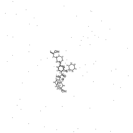 C=C(O)CC1CCCN(c2ccc(C(=O)N[C@H]3C4CC5CC3C[C@@](O)(C5)C4)c(SC3CCCCC3)n2)C1